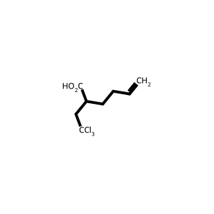 C=CCCC(CC(Cl)(Cl)Cl)C(=O)O